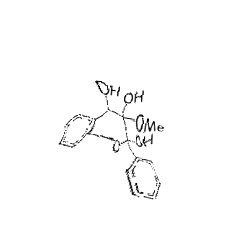 COC1(O)C(O)c2ccccc2OC1(O)c1ccccc1